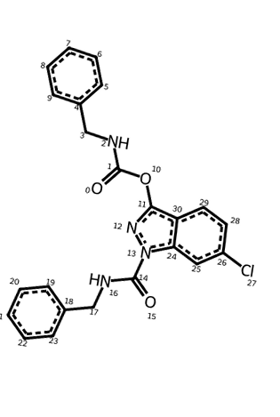 O=C(NCc1ccccc1)Oc1nn(C(=O)NCc2ccccc2)c2cc(Cl)ccc12